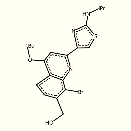 CC(C)Nc1nc(-c2cc(OC(C)(C)C)c3ccc(CO)c(Br)c3n2)cs1